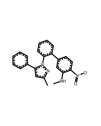 CNc1cc(-c2ccccc2-n2nc(C)cc2-c2ccccc2)ccc1[N+](=O)[O-]